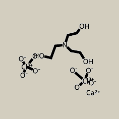 OCCN(CCO)CCO.[Ca+2].[O-][Cl+3]([O-])([O-])[O-].[O-][Cl+3]([O-])([O-])[O-]